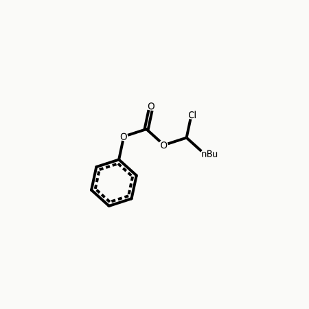 CCCCC(Cl)OC(=O)Oc1ccccc1